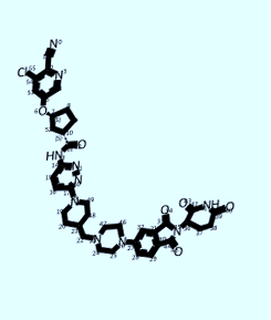 N#Cc1ncc(O[C@H]2CC[C@H](C(=O)Nc3ccc(N4CCC(CN5CCN(c6ccc7c(c6)C(=O)N(C6CCC(=O)NC6=O)C7=O)CC5)CC4)nn3)C2)cc1Cl